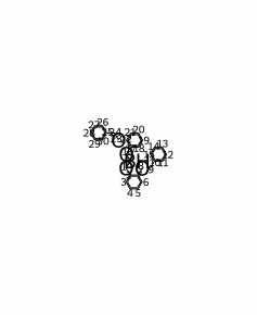 B(Oc1ccccc1OCc1ccccc1)Oc1ccccc1OCc1ccccc1